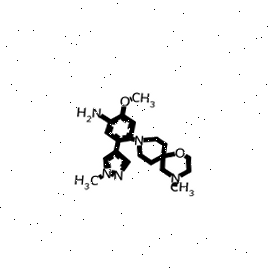 COc1cc(N2CCC3(CC2)CN(C)CCO3)c(-c2cnn(C)c2)cc1N